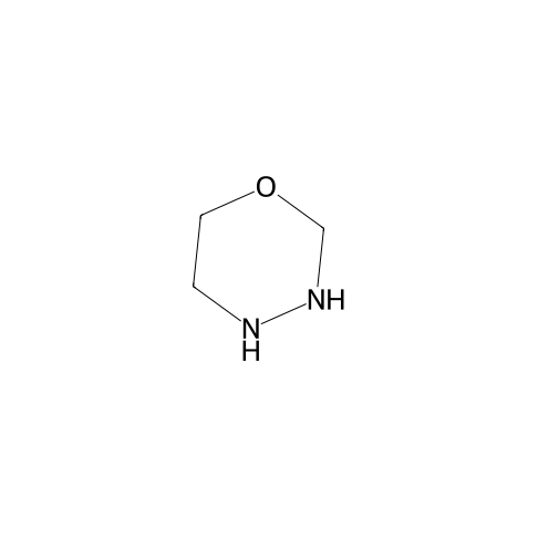 C1COCNN1